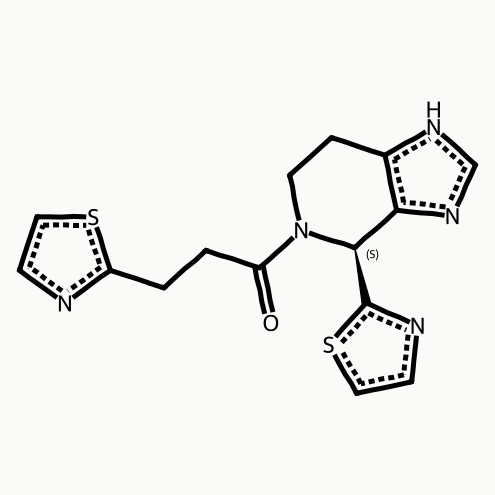 O=C(CCc1nccs1)N1CCc2[nH]cnc2[C@H]1c1nccs1